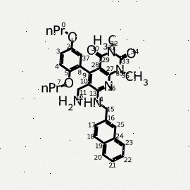 CCCOc1ccc(OCCC)c(-c2c(CN)c(NCc3ccc4ccccc4c3)nc3c2c(=O)n(C)c(=O)n3C)c1